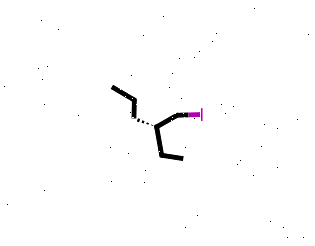 CCC[C@@H](CC)CI